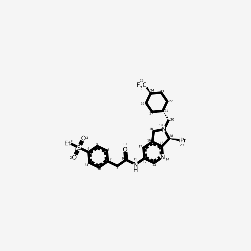 CCS(=O)(=O)c1ccc(CC(=O)Nc2cnc3c(c2)CN(C[C@H]2CC[C@H](C(F)(F)F)CC2)[C@H]3C(C)C)cc1